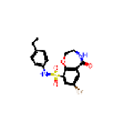 CCc1ccc(NS(=O)(=O)c2cc(Br)cc3c2OCCNC3=O)cc1